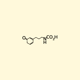 O=C1C=C(CCCNC(=O)O)C=CC1